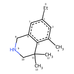 CCc1cc(C)c2c(c1)CNCC2(C)C